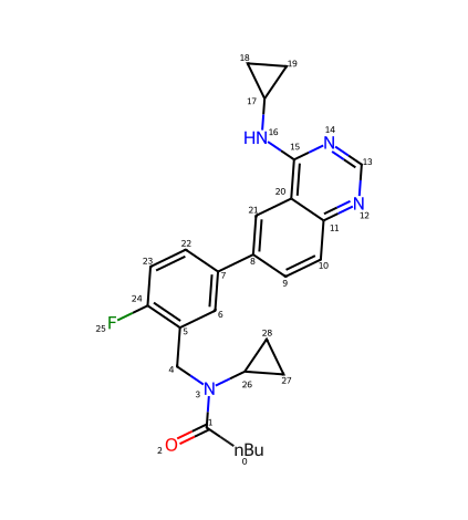 CCCCC(=O)N(Cc1cc(-c2ccc3ncnc(NC4CC4)c3c2)ccc1F)C1CC1